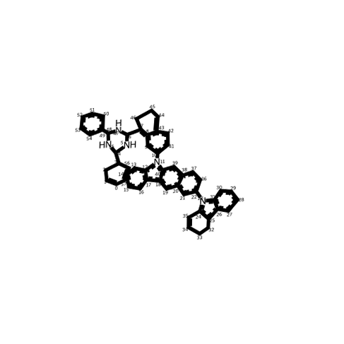 C1=CCC(C2NC(C3=c4cc(-n5c6ccccc6c6cc7cc(-n8c9c(c%10ccccc%108)CCC=C9)ccc7cc65)ccc4=CCC3)NC(c3ccccc3)N2)C=C1